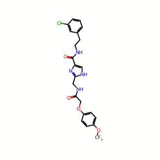 O=C(COc1ccc(OC(F)(F)F)cc1)NCc1nc(C(=O)NCCc2cccc(Cl)c2)c[nH]1